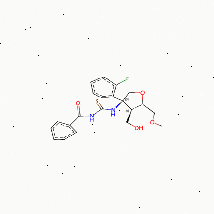 COCC1OC[C@@](NC(=S)NC(=O)c2ccccc2)(c2ccccc2F)[C@@H]1CO